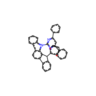 c1ccc(-c2cc(-c3ccccc3)nc(-n3c4ccccc4c4ccc5c(c43)C(c3ccccc3)c3ccccc3-5)n2)cc1